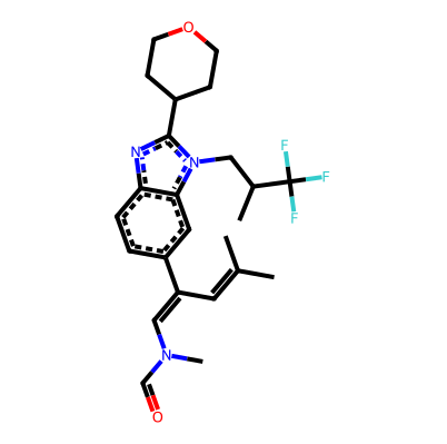 CC(C)=C/C(=C\N(C)C=O)c1ccc2nc(C3CCOCC3)n(CC(C)C(F)(F)F)c2c1